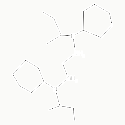 CCC(C)N([SiH2]C[SiH2]N(C(C)CC)C1CCCCC1)C1CCCCC1